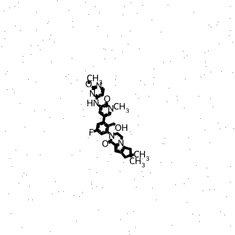 COc1nccc(Nc2cc(-c3cc(F)cc(N4CCn5c(cc6c5CC(C)(C)C6)C4=O)c3CO)cn(C)c2=O)n1